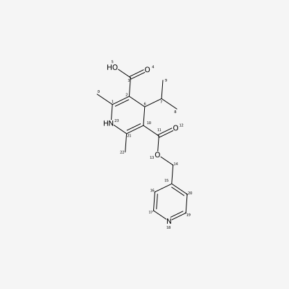 CC1=C(C(=O)O)C(C(C)C)C(C(=O)OCc2ccncc2)=C(C)N1